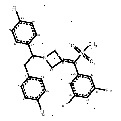 CS(=O)(=O)C(=C1CN(C(Cc2ccc(Cl)cc2)c2ccc(Cl)cc2)C1)c1cc(F)cc(F)c1